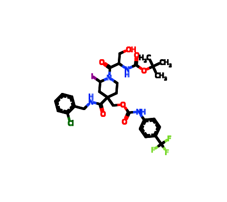 CC(C)(C)OC(=O)NC(CO)C(=O)N1CCC(COC(=O)Nc2ccc(C(F)(F)F)cc2)(C(=O)NCc2ccccc2Cl)CC1I